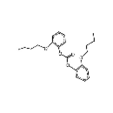 CCCCOc1ccccc1OC(=O)Oc1ccccc1OCCCC